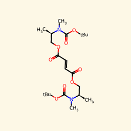 C[C@H](COC(=O)/C=C/C(=O)OC[C@@H](C)N(C)C(=O)OC(C)(C)C)N(C)C(=O)OC(C)(C)C